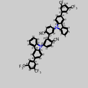 N#Cc1ccc(-n2c3ccccc3c3cc(-c4cc(C(F)(F)F)cc(C(F)(F)F)c4)ccc32)cc1-c1cc(-n2c3ccccc3c3cc(-c4cc(C(F)(F)F)cc(C(F)(F)F)c4)ccc32)ccc1C#N